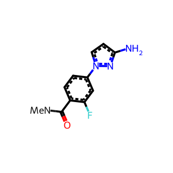 CNC(=O)c1ccc(-n2ccc(N)n2)cc1F